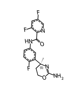 C[C@@]1(c2cc(NC(=O)c3ncc(F)cc3F)ccc2F)CCOC(N)=N1